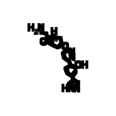 CC1=C2C[C@@H](Oc3ccc(-c4ccc(-c5cn[nH]c5)cc4O)nn3)C[C@H](C1)N2C(=O)CCN